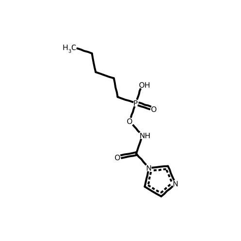 CCCCCP(=O)(O)ONC(=O)n1ccnc1